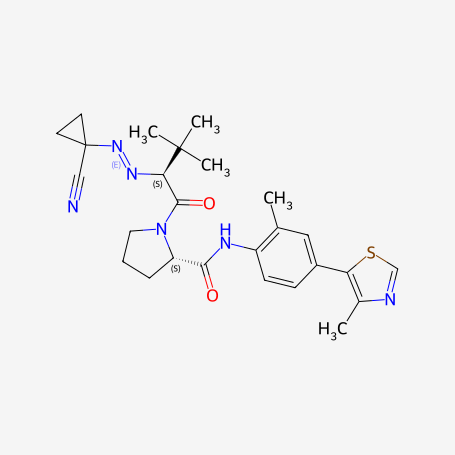 Cc1cc(-c2scnc2C)ccc1NC(=O)[C@@H]1CCCN1C(=O)[C@@H](/N=N/C1(C#N)CC1)C(C)(C)C